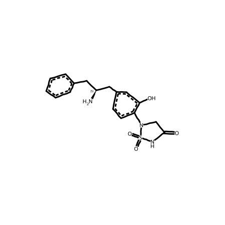 N[C@@H](Cc1ccccc1)Cc1ccc(N2CC(=O)NS2(=O)=O)c(O)c1